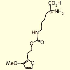 COc1ccoc1CCOC(=O)NCCCC[C@H](N)C(=O)O